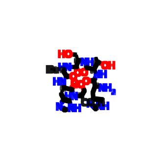 CC[C@H](C)[C@H](NC(=O)[C@H](CO)NC(=O)[C@@H](NC(=O)[C@@H](N)Cc1c[nH]cn1)[C@@H](C)O)C(=O)N[C@@H](Cc1c[nH]cn1)C(=O)N[C@@H](CO)C(=O)O